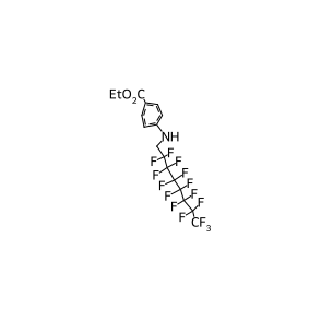 CCOC(=O)c1ccc(NCC(F)(F)C(F)(F)C(F)(F)C(F)(F)C(F)(F)C(F)(F)C(F)(F)F)cc1